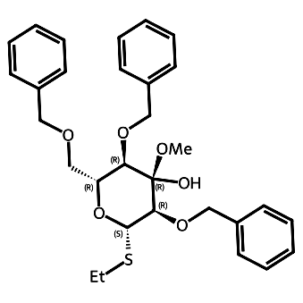 CCS[C@@H]1O[C@H](COCc2ccccc2)[C@@H](OCc2ccccc2)[C@@](O)(OC)[C@H]1OCc1ccccc1